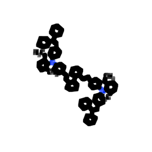 CCc1cccc(C)c1N(c1ccc(C=C(c2ccccc2)c2ccccc2)cc1)c1ccc(/C=C/c2ccccc2-c2ccccc2/C=C/c2ccc(N(c3ccc(C=C(c4ccccc4)c4ccccc4)cc3)c3c(C)cccc3CC)cc2)cc1